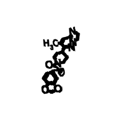 Cc1cc2nccn2nc1C1CCN(S(=O)(=O)c2ccc3c(c2)OCO3)CC1